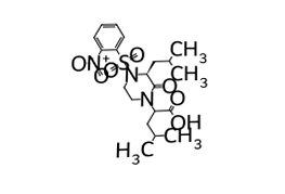 CC(C)CC(C(=O)O)N1CCN(S(=O)(=O)c2ccccc2[N+](=O)[O-])[C@@H](CC(C)C)C1=O